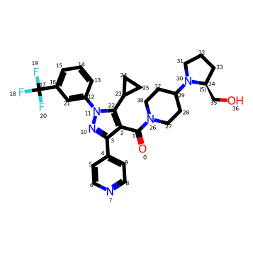 O=C(c1c(-c2ccncc2)nn(-c2cccc(C(F)(F)F)c2)c1C1CC1)N1CCC(N2CCC[C@H]2CO)CC1